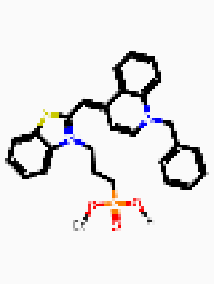 CCOP(=O)(CCC[n+]1c(/C=C2\C=CN(Cc3ccccc3)c3ccccc32)sc2ccccc21)OCC